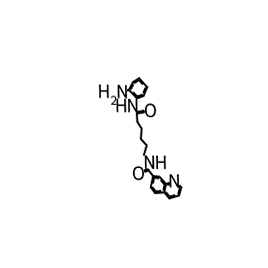 Nc1ccccc1NC(=O)CCCCCNC(=O)c1ccc2cccnc2c1